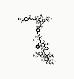 CC[C@H](C)[C@@H]([C@@H](CC(=O)N1CCC[C@H]1[C@H](OC)[C@@H](C)C(=O)N[C@@H](Cc1ccccc1)C[C@H](C)C(=O)NOCc1ccc(NC(=O)[C@@H](CCCNC(N)=O)NC(=O)[C@H](NC(=O)CCCC(=O)N2CCC(C(=O)O)CC2)C(C)C)cc1)OC)N(C)C(=O)[C@@H](NC(=O)[C@H](C(C)C)N(C)C)C(C)C